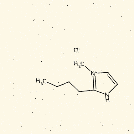 CCCCc1[nH]cc[n+]1C.[Cl-]